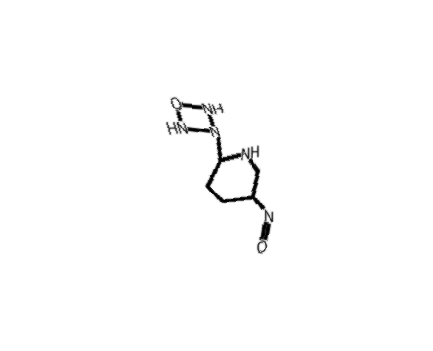 O=NC1CCC(N2NON2)NC1